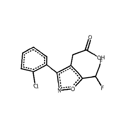 O=C(O)Cc1c(-c2ccccc2Cl)noc1C(F)F